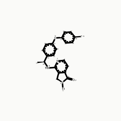 CCN1Cc2c(ccnc2N[C@@H](C)c2ccc(Oc3ccc(F)cc3)cc2)C1=O